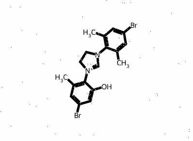 Cc1cc(Br)cc(C)c1N1C=[N+](c2c(C)cc(Br)cc2O)CC1